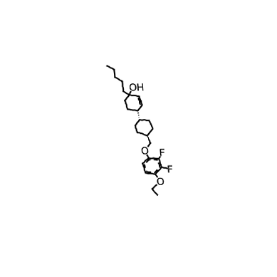 CCCCCC1(O)C=CC([C@H]2CC[C@H](COc3ccc(OCC)c(F)c3F)CC2)CC1